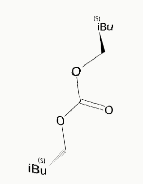 CC[C@H](C)COC(=O)OC[C@@H](C)CC